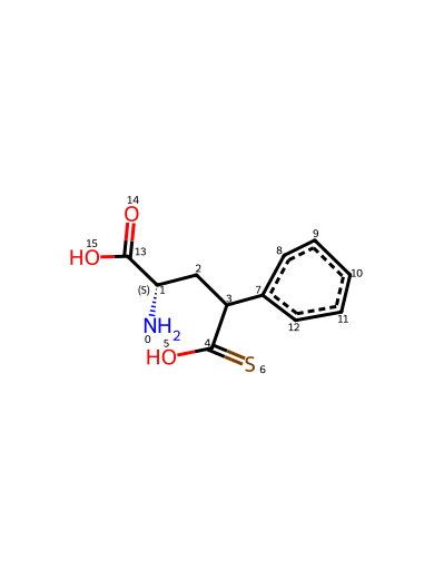 N[C@@H](CC(C(O)=S)c1ccccc1)C(=O)O